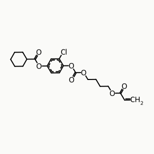 C=CC(=O)OCCCCOC(=O)Oc1ccc(OC(=O)C2CCCCC2)cc1Cl